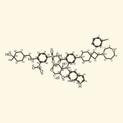 Cc1ccccc1[C@@H]1COCCCN1C1CC2(CCN(c3ccc(C(=O)NS(=O)(=O)c4ccc(NCC5CCC(C)(O)CC5)c([N+](=O)[O-])c4)c(N4c5cc6cc[nH]c6nc5O[C@H]5COCC[C@@H]54)c3)CC2)C1